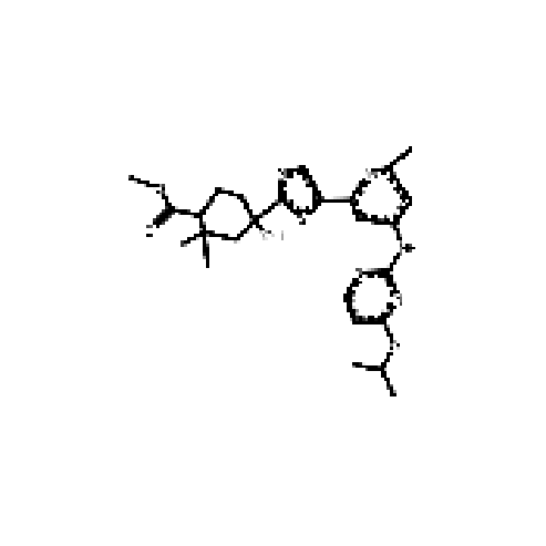 COC(=O)C1CCC(O)(c2ncc(-c3cc(Nc4nccc(OC(C)C)n4)cc(C)n3)s2)CC1(C)C